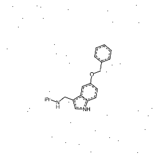 CC(C)NCc1c[nH]c2ccc(OCc3ccccc3)cc12